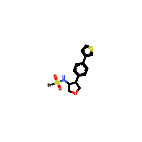 CC(C)S(=O)(=O)NC1COCC1c1ccc(-c2ccsc2)cc1